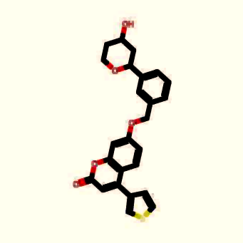 O=c1cc(-c2ccsc2)c2ccc(OCc3cccc(C4CC(O)CCO4)c3)cc2o1